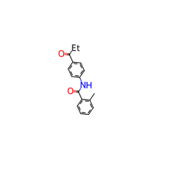 CCC(=O)c1ccc(NC(=O)c2ccccc2C)cc1